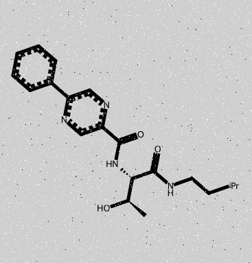 CC(C)C[CH]NC(=O)[C@@H](NC(=O)c1cnc(-c2ccccc2)cn1)[C@@H](C)O